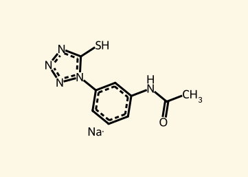 CC(=O)Nc1cccc(-n2nnnc2S)c1.[Na]